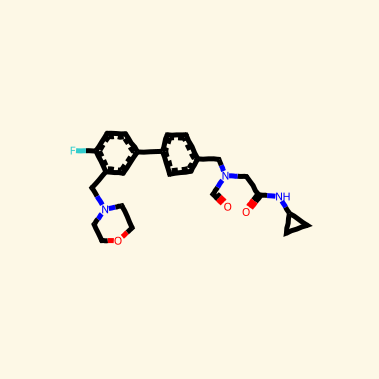 O=CN(CC(=O)NC1CC1)Cc1ccc(-c2ccc(F)c(CN3CCOCC3)c2)cc1